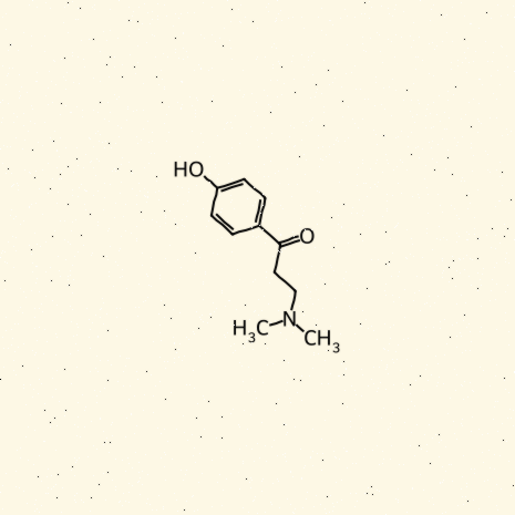 CN(C)CCC(=O)c1ccc(O)cc1